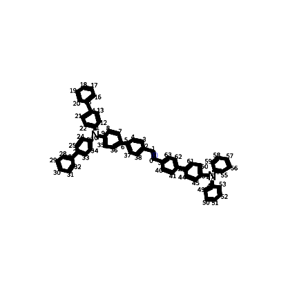 C(=C\c1ccc(-c2ccc(N(c3ccc(-c4ccccc4)cc3)c3ccc(-c4ccccc4)cc3)cc2)cc1)/c1ccc(-c2ccc(N(c3ccccc3)c3ccccc3)cc2)cc1